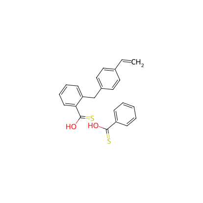 C=Cc1ccc(Cc2ccccc2C(O)=S)cc1.OC(=S)c1ccccc1